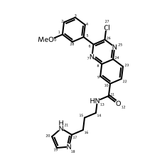 COc1cccc(-c2nc3cc(C(=O)NCCCc4ncc[nH]4)ccc3nc2Cl)c1